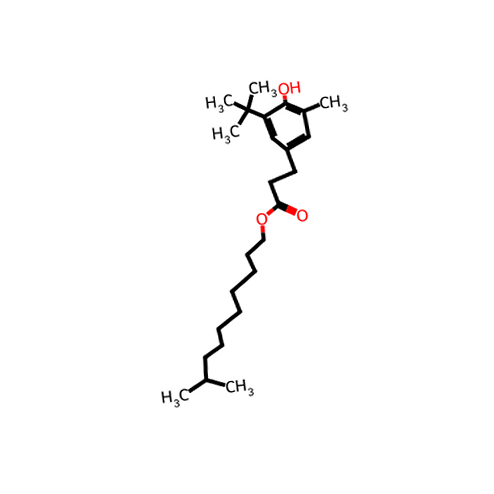 Cc1cc(CCC(=O)OCCCCCCCCC(C)C)cc(C(C)(C)C)c1O